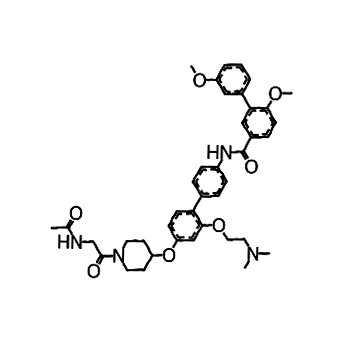 COc1cccc(-c2cc(C(=O)Nc3ccc(-c4ccc(OC5CCN(C(=O)CNC(C)=O)CC5)cc4OCCN(C)C)cc3)ccc2OC)c1